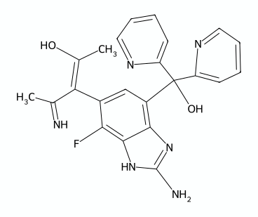 CC(=N)/C(=C(/C)O)c1cc(C(O)(c2ccccn2)c2ccccn2)c2nc(N)[nH]c2c1F